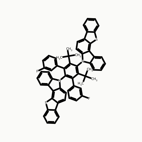 CC(C)(C)c1c(-c2cccc(F)c2)c(-n2c3ccccc3c3c4sc5ccccc5c4ccc32)c(-c2cccc(F)c2)c(C(C)(C)C)c1-n1c2ccccc2c2c3sc4ccccc4c3ccc21